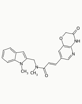 CN(Cc1cc2ccccc2n1C)C(=O)C=Cc1cnc2c(c1)OCC(=O)N2